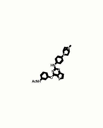 CC(=O)Nc1cccc(Oc2nc(Nc3ccc(N4CC5CC4CN5C)cc3)nc3ccsc23)c1